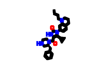 CCCCN1CCCc2ccc(-n3c(C4CC4)c(C(=O)N4CCNC[C@H]4Cc4ccccc4)[nH]c3=O)cc21